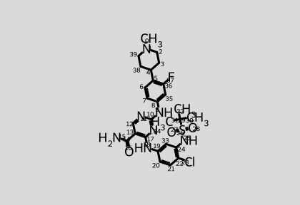 CN1CCC(c2ccc(Nc3ncc(C(N)=O)c(Nc4ccc(Cl)c(NS(=O)(=O)C(C)(C)C)c4)n3)cc2F)CC1